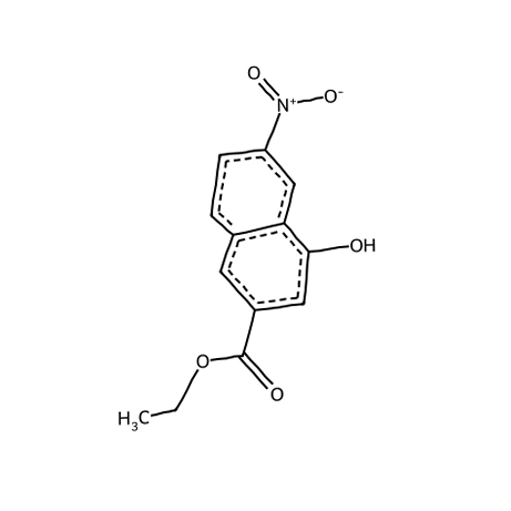 CCOC(=O)c1cc(O)c2cc([N+](=O)[O-])ccc2c1